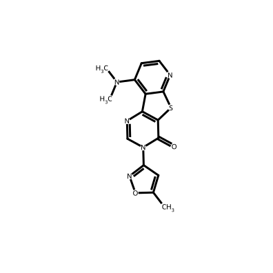 Cc1cc(-n2cnc3c(sc4nccc(N(C)C)c43)c2=O)no1